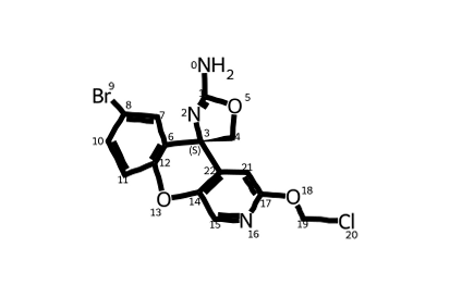 NC1=N[C@@]2(CO1)c1cc(Br)ccc1Oc1cnc(OCCl)cc12